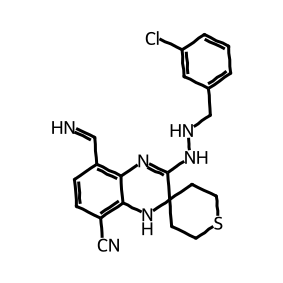 N#Cc1ccc(C=N)c2c1NC1(CCSCC1)C(NNCc1cccc(Cl)c1)=N2